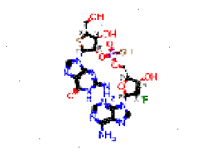 Nc1nc2c(ncn2[C@@H]2S[C@H](CO)[C@@H](O)[C@H]2OP(=O)(S)OC[C@H]2O[C@@H](n3cnc4c(N)ncnc43)[C@@H](F)[C@@H]2O)c(=O)[nH]1